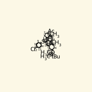 CC(=O)[C@H]1CC[C@H]2[C@@H]3[C@@H](Sc4ccc(Cl)cc4)C=C4C[C@@H](O[Si](C)(C)C(C)(C)C)CC[C@]4(C)[C@H]3CC[C@]12C